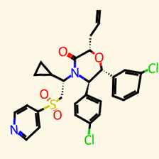 C=CC[C@@H]1O[C@H](c2cccc(Cl)c2)[C@@H](c2ccc(Cl)cc2)N([C@H](CS(=O)(=O)c2ccncc2)C2CC2)C1=O